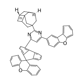 c1ccc2c(c1)Oc1ccccc1C21c2ccccc2-c2c(-c3cc(-c4ccc5oc6ccccc6c5c4)nc(C45CC6C[C@@H]7C[C@@H](C4)CC67C5)n3)cccc21